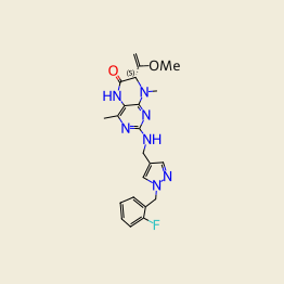 C=C(OC)[C@H]1C(=O)Nc2c(C)nc(NCc3cnn(Cc4ccccc4F)c3)nc2N1C